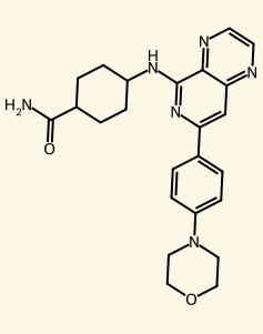 NC(=O)C1CCC(Nc2nc(-c3ccc(N4CCOCC4)cc3)cc3nccnc23)CC1